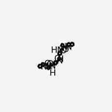 O=C(Nc1ccc(-c2nnc(-c3ccc(NC(=O)[C@@H]4CCCN4C(=O)c4ccc5ccccc5n4)cc3)o2)cc1)[C@@H]1CCCN1C(=O)c1ccc2ccccc2n1